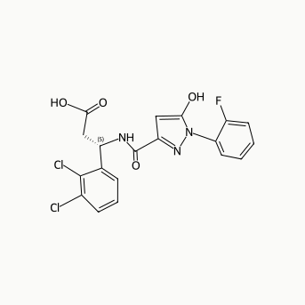 O=C(O)C[C@H](NC(=O)c1cc(O)n(-c2ccccc2F)n1)c1cccc(Cl)c1Cl